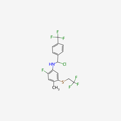 Cc1cc(F)c(NC(Cl)c2ccc(C(F)(F)F)cc2)cc1SCC(F)(F)F